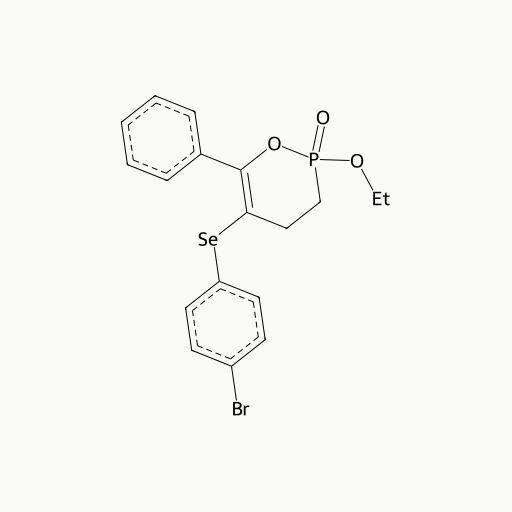 CCOP1(=O)CCC([Se]c2ccc(Br)cc2)=C(c2ccccc2)O1